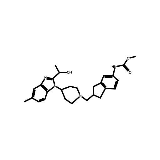 COC(=O)Nc1ccc2c(c1)CC(CN1CCC(n3c(C(C)O)nc4cc(C)ccc43)CC1)C2